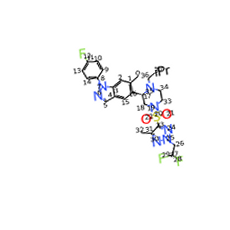 Cc1cc2c(cnn2-c2ccc(F)cc2)cc1[C@@H]1CN(S(=O)(=O)c2nn(CC(F)F)nc2C)CCN1CC(C)C